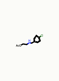 CC(=O)OCCNCc1ccc(Cl)cc1